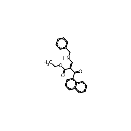 CCOC(=O)C(=CNCc1ccccc1)C(=O)c1cccc2ccccc12